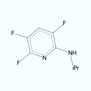 CC(C)Nc1nc(F)c(F)cc1F